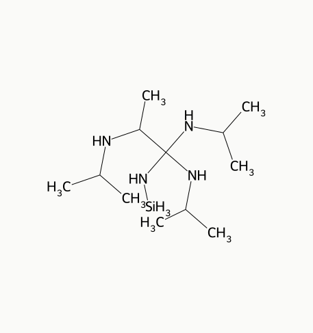 CC(C)NC(C)C(N[SiH3])(NC(C)C)NC(C)C